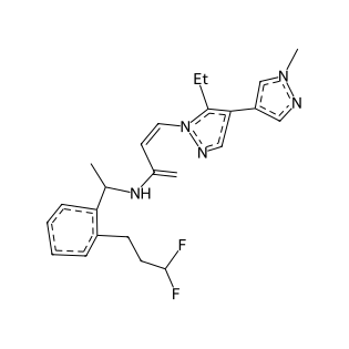 C=C(/C=C\n1ncc(-c2cnn(C)c2)c1CC)NC(C)c1ccccc1CCC(F)F